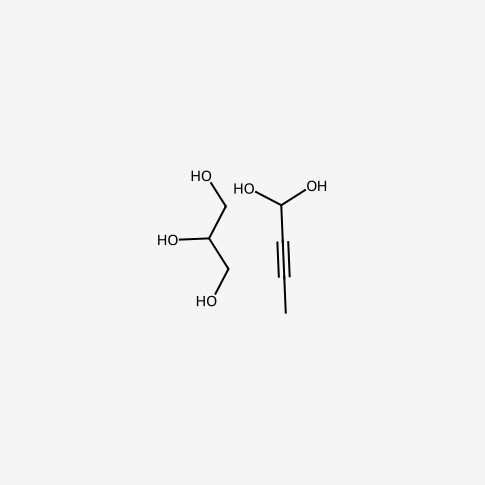 CC#CC(O)O.OCC(O)CO